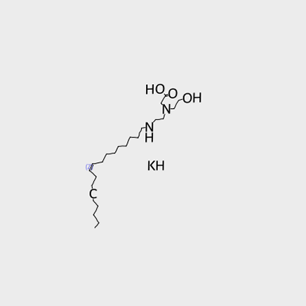 CCCCCCCC/C=C\CCCCCCCCNCCN(CCO)CC(=O)O.[KH]